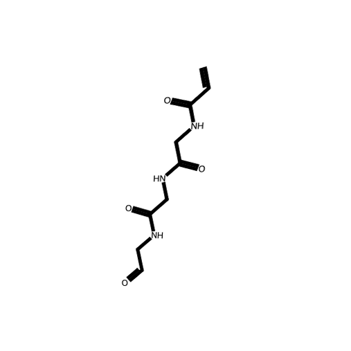 C=CC(=O)NCC(=O)NCC(=O)NCC=O